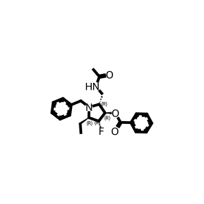 CC[C@@H]1[C@@H](F)[C@H](OC(=O)c2ccccc2)[C@@H](CNC(C)=O)N1Cc1ccccc1